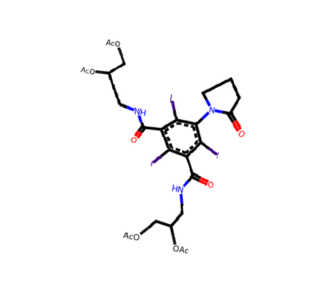 CC(=O)OCC(CNC(=O)c1c(I)c(C(=O)NCC(COC(C)=O)OC(C)=O)c(I)c(N2CCCC2=O)c1I)OC(C)=O